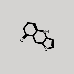 O=C1CCC=C2NC3C=CSC3CC12